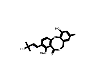 COc1c(/C=C/C(C)(C)O)ccc2c1C(=O)OCc1cc(C)cc(O)c1O2